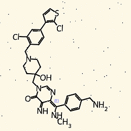 CN/C(=C1/N=CN(CC2(O)CCN(Cc3ccc(-c4ccsc4Cl)cc3Cl)CC2)C(=O)C1=N)c1ccc(CN)cc1